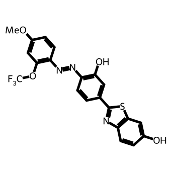 COc1ccc(/N=N/c2ccc(-c3nc4ccc(O)cc4s3)cc2O)c(OC(F)(F)F)c1